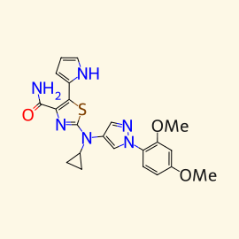 COc1ccc(-n2cc(N(c3nc(C(N)=O)c(-c4ccc[nH]4)s3)C3CC3)cn2)c(OC)c1